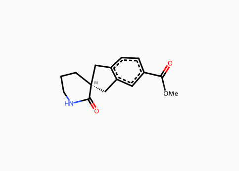 COC(=O)c1ccc2c(c1)C[C@]1(CCCNC1=O)C2